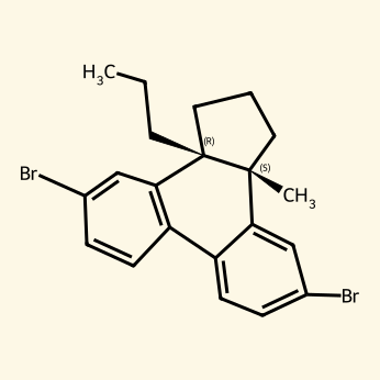 CCC[C@@]12CCC[C@]1(C)c1cc(Br)ccc1-c1ccc(Br)cc12